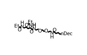 CCCCCCCCCCCCCC(=O)NCCOCCOCCNC(=O)C(CCCNC(=O)CC)NC(=O)CC